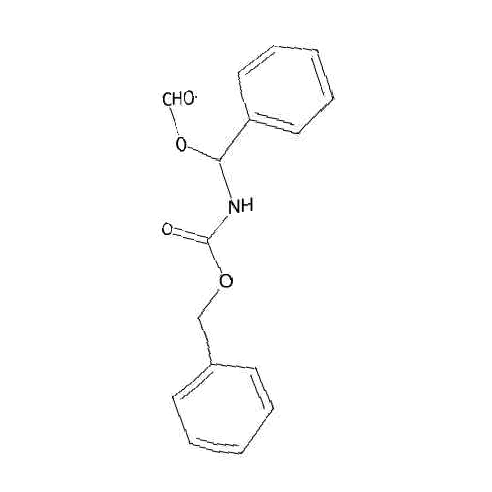 O=[C]OC(NC(=O)OCc1ccccc1)c1ccccc1